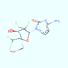 Nc1ccn([C@@H]2O[C@@](CO)(C(F)F)[C@@H](O)C2(F)F)c(=O)n1